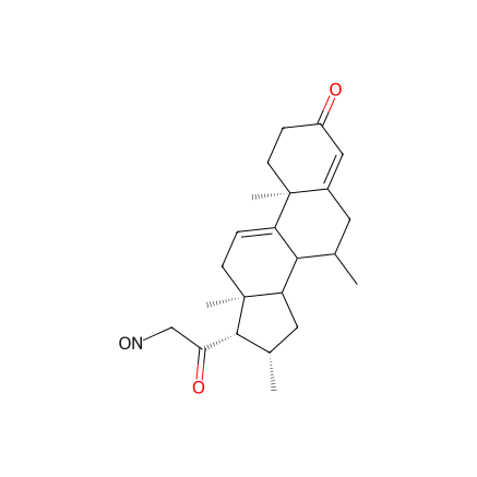 CC1CC2=CC(=O)CC[C@]2(C)C2=CC[C@@]3(C)C(C[C@H](C)[C@@H]3C(=O)CN=O)C21